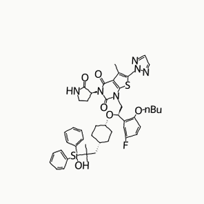 CCCCOc1ccc(F)cc1[C@H](Cn1c(=O)n([C@H]2CCNC2=O)c(=O)c2c(C)c(-n3nccn3)sc21)O[C@H]1CC[C@@H](CC(C)(C)[Si](O)(c2ccccc2)c2ccccc2)CC1